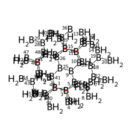 BB(B)B(B)B(B(B)B)B(B(B(B(B)B)B(B)B)B(B(B)B)B(B)B)B(B(B(B(B)B)B(B)B)B(B(B)B)B(B)B)B(B(B(B)B)B(B)B)B(B(B)B)B(B)B